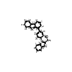 c1ccc2c(c1)nc1n2-c2ccc(-c3cccc4c3sc3ccccc34)cc2OC1